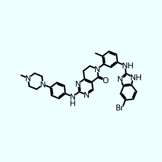 Cc1ccc(Nc2nc3cc(Br)ccc3[nH]2)cc1N1CCc2nc(Nc3ccc(N4CCN(C)CC4)cc3)ncc2C1=O